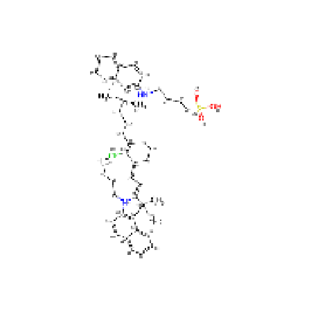 CCCCN1/C(=C\C=C2/CCCC(CCCC(C)(C)c3c(NCCCCS(=O)(=O)O)ccc4ccccc34)=C2Cl)C(C)(C)c2c1ccc1ccccc21